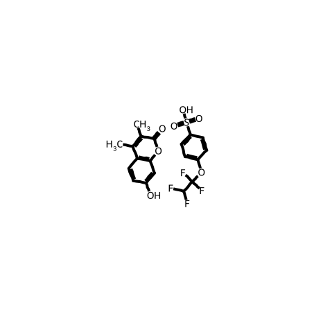 Cc1c(C)c2ccc(O)cc2oc1=O.O=S(=O)(O)c1ccc(OC(F)(F)C(F)F)cc1